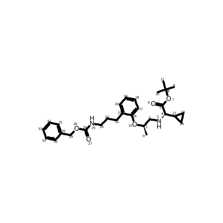 C[C@H](CN[C@H](C(=O)OC(C)(C)C)C1CC1)Oc1ccccc1CCCNC(=O)OCc1ccccc1